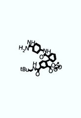 CC(C)(C)CNC(=O)c1ccc(-c2ccccc2C(=O)Nc2ccc(C(=N)N)cc2)c(C(=O)OS(C)(=O)=O)c1